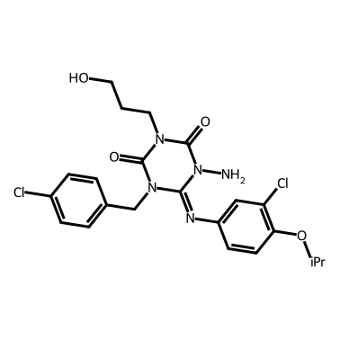 CC(C)Oc1ccc(/N=c2\n(N)c(=O)n(CCCO)c(=O)n2Cc2ccc(Cl)cc2)cc1Cl